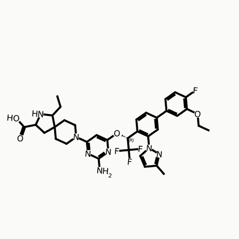 CCOc1cc(-c2ccc([C@@H](Oc3cc(N4CCC5(CC4)CC(C(=O)O)NC5CC)nc(N)n3)C(F)(F)F)c(-n3ccc(C)n3)c2)ccc1F